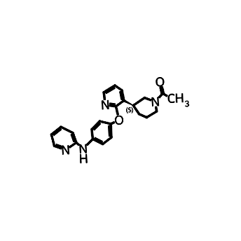 CC(=O)N1CCC[C@@H](c2cccnc2Oc2ccc(Nc3ccccn3)cc2)C1